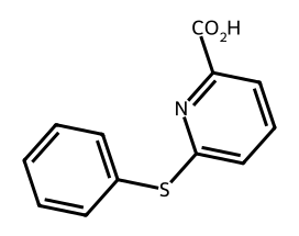 O=C(O)c1cccc(Sc2ccccc2)n1